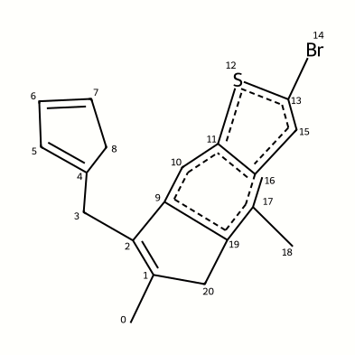 CC1=C(CC2=CC=CC2)c2cc3sc(Br)cc3c(C)c2C1